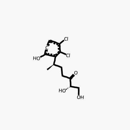 C[C@H](CCC(=O)[C@@H](O)CO)c1c(O)ccc(Cl)c1Cl